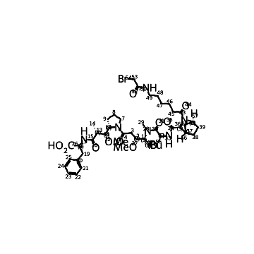 CC[C@H](C)[C@@H]([C@@H](CC(=O)N1CCC[C@H]1[C@H](OC)[C@@H](C)C(=O)N[C@@H](Cc1ccccc1)C(=O)O)OC)N(C)C(=O)[C@@H](NC(=O)[C@@H]1[C@H]2CC[C@@H](C2)N1C(=O)CCCCCNC(=O)CBr)C(C)C